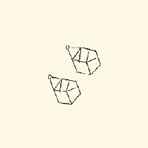 CC12CCC3CC1(O2)C3(C)C.CC12CCC3CC1(O2)C3(C)C